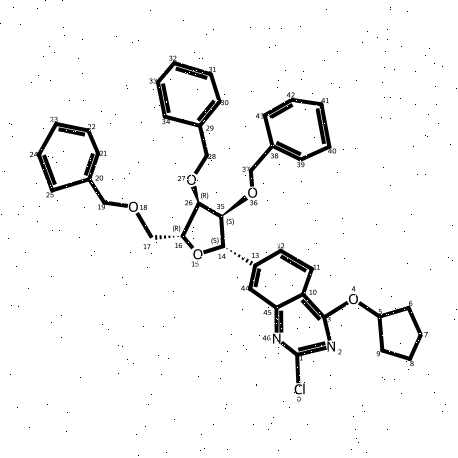 Clc1nc(OC2CCCC2)c2ccc([C@@H]3O[C@H](COCc4ccccc4)[C@@H](OCc4ccccc4)[C@H]3OCc3ccccc3)cc2n1